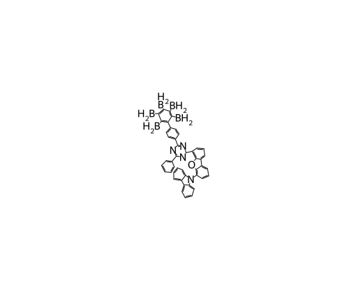 Bc1c(B)c(B)c(-c2ccc(-c3nc(-c4ccccc4)nc(-c4cccc5c4oc4c(-n6c7ccccc7c7ccccc76)cccc45)n3)cc2)c(B)c1B